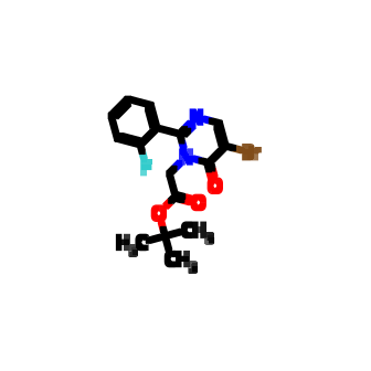 CC(C)(C)OC(=O)Cn1c(-c2ccccc2F)ncc(Br)c1=O